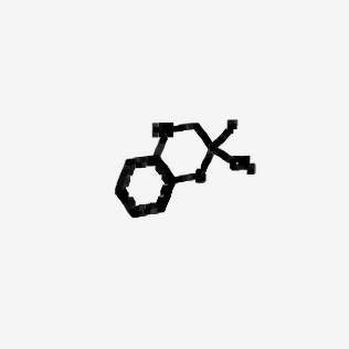 CC1(F)CNc2ccccc2S1